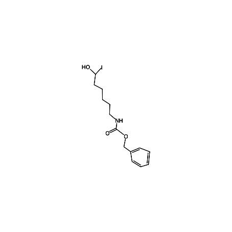 O=C(NCCCCCC(O)I)OCc1ccccc1